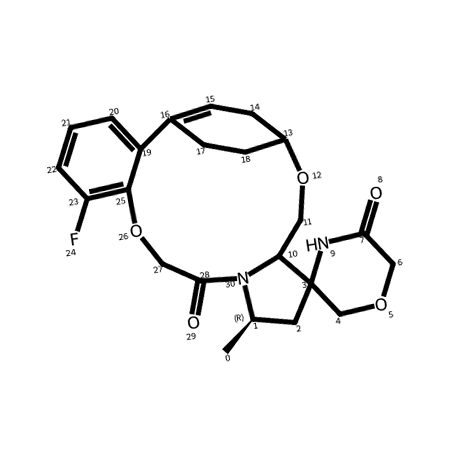 C[C@@H]1CC2(COCC(=O)N2)C2COC3CC=C(CC3)c3cccc(F)c3OCC(=O)N21